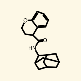 O=C(NC1C2CC3CC(C2)CC1C3)C1CCOc2ccccc21